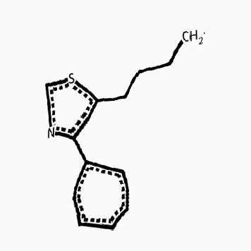 [CH2]CCCc1scnc1-c1ccccc1